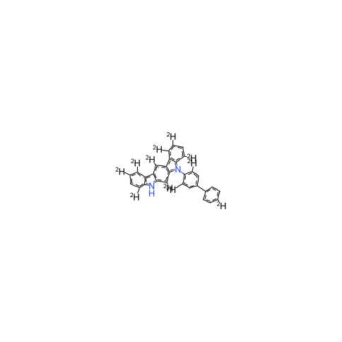 [2H]c1ccc(-c2cc([2H])c(-n3c4c([2H])cc([2H])c([2H])c4c4c([2H])c5c([nH]c6c([2H])cc([2H])c([2H])c65)c([2H])c43)c([2H])c2)cc1